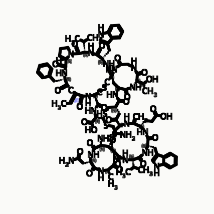 C=C1N[C@H](C(=O)C[C@H](CS)C(=O)N[C@H]2C[C@]3(CSC[C@@H](C(=O)N[C@@H](CSCC(N)=O)C(=O)O)NC(=O)/C(=C/C)CC(=O)[C@H](Cc4ccccc4)NC(=O)[C@@H]4CCCN4C(=O)[C@H](C(C)C)NC(=O)[C@H](Cc4c[nH]c5ccccc45)NC3=O)NC(=O)CNC(=O)[C@H]([C@@H](C)O)NC2=O)CSC[C@]2(C[C@H](N)C(=O)N[C@@H](CC(N)=O)C(=O)N[C@@H](C)C(=O)N2)C(=O)N[C@@H](C(C)C)C(=O)N[C@@H](Cc2c[nH]c3ccccc23)C(=O)N[C@H]1CCC(=O)O